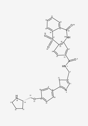 O=C(NCc1cnc(-c2ccc(OC[C@@H]3CCCN3)cc2)s1)c1ccc2c(c1)NC(=O)c1ccccc1S2(=O)=O